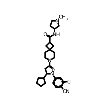 CN1CCC(NC(=O)C2CC3(CCN(C4=NN(c5ccc(C#N)c(Cl)c5)C(C5CCCC5)C4)CC3)C2)C1